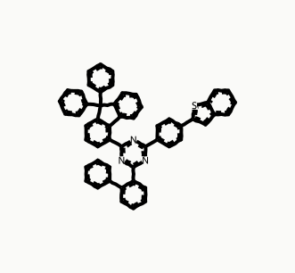 c1ccc(-c2ccccc2-c2nc(-c3ccc(-c4cc5ccccc5s4)cc3)nc(-c3cccc4c3-c3ccccc3C4(c3ccccc3)c3ccccc3)n2)cc1